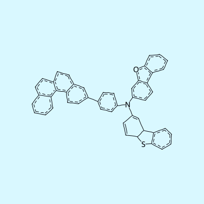 C1=CC2Sc3ccccc3C2C=C1N(c1ccc(-c2ccc3c(ccc4ccc5ccccc5c43)c2)cc1)c1ccc2c(c1)oc1ccccc12